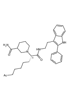 CC(=O)CCCCC[C@@H](C(=O)NCCc1c(-c2ccccc2)[nH]c2ccccc12)N1CCCC(C(N)=O)C1